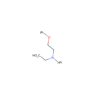 CCCN(CCOC(C)C)CC(=O)O